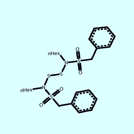 CCCCCCN(SSN(CCCCCC)S(=O)(=O)Cc1ccccc1)S(=O)(=O)Cc1ccccc1